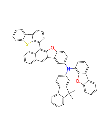 CC1(C)c2ccccc2-c2ccc(N(c3ccc4oc5c(-c6cccc7c6sc6ccccc67)c6ccccc6cc5c4c3)c3cccc4c3oc3ccccc34)cc21